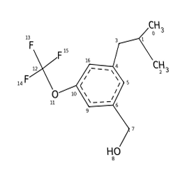 CC(C)Cc1cc([CH]O)cc(OC(F)(F)F)c1